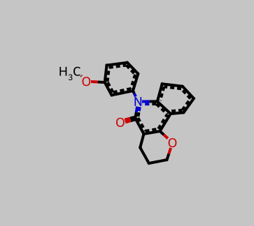 COc1cccc(-n2c(=O)c3c(c4ccccc42)OCCC3)c1